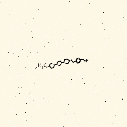 CC[C@H]1CC[C@H]([C@H]2CC[C@H]([C@H]3CC[C@H](CCc4ccc(CCF)cc4)CC3)CC2)CC1